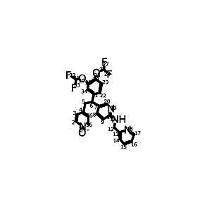 [O-][n+]1ccc(CC(c2ccc(NCc3ccccn3)nc2)c2ccc(OC(F)F)c(OC(F)F)c2)cc1